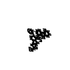 [Cl-].[Cl-].[S]=[Zr+2]([c]1cccc2c1C=C1SC(Br)C=C12)[c]1cccc2c1Cc1ccccc1-2